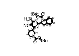 CC(C)(C)OC(=O)N1CCCC(c2nc(C3Cc4ccccc4N3C(=O)OC(C)(C)C)nc(N)c2C#N)C1